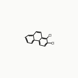 Clc1[c]cc2c(ccc3c[c]ccc32)c1Cl